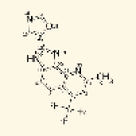 Cc1cc(C(F)(F)F)c2ccc3[nH]c(-c4cnco4)nc3c2n1